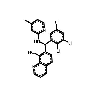 Cc1ccnc(NC(c2cc(Cl)cc(Cl)c2Cl)c2ccc3cccnc3c2O)c1